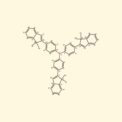 CC1(C)C(c2ccc(P(c3ccc(C4=Cc5ccccc5C4(C)C)cc3)c3ccc(C4=Cc5ccccc5C4(C)C)cc3)cc2)=Cc2ccccc21